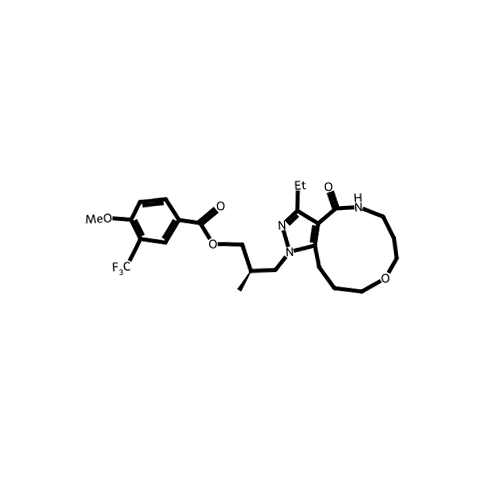 CCc1nn(C[C@@H](C)COC(=O)c2ccc(OC)c(C(F)(F)F)c2)c2c1C(=O)NCCCOCCC2